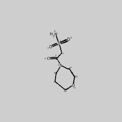 NS(=O)(=O)CC(=O)N1CCCOCC1